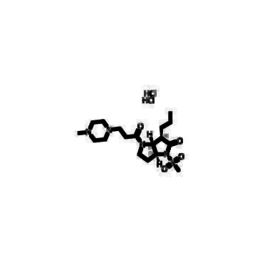 CCC[C@H]1C(=O)N(S(C)(=O)=O)[C@H]2CCN(C(=O)CCN3CCN(C)CC3)[C@H]12.Cl.Cl